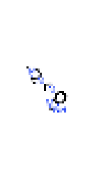 CN1CC2CC1CN2C1CN(c2cccc3[nH]cnc23)C1